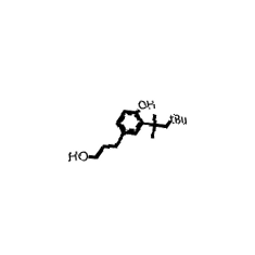 CC(C)(C)CC(C)(C)c1cc(CCCO)ccc1O